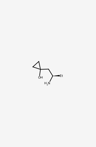 CC[C@@H](N)CC1(O)CC1